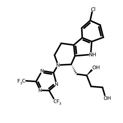 OCC[C@H](O)C[C@H]1c2[nH]c3ccc(Cl)cc3c2CCN1c1nc(C(F)(F)F)nc(C(F)(F)F)n1